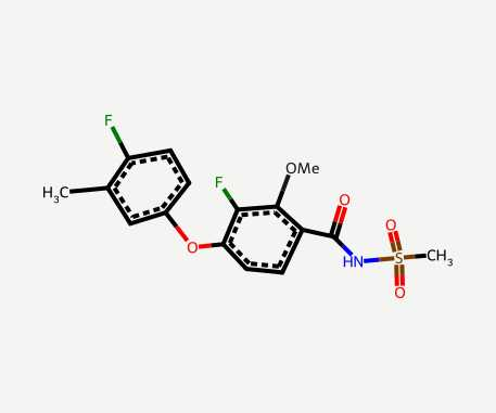 COc1c(C(=O)NS(C)(=O)=O)ccc(Oc2ccc(F)c(C)c2)c1F